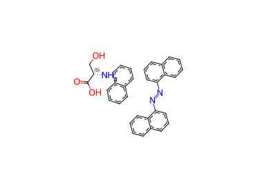 N[C@@H](CO)C(=O)O.c1ccc2c(N=Nc3cccc4ccccc34)cccc2c1.c1ccc2ccccc2c1